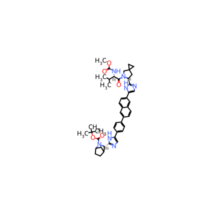 COC(=O)N[C@H](C(=O)N1CC2(CC2)C[C@H]1c1ncc(-c2ccc3cc(-c4ccc(-c5cnc([C@@H]6C7CCC(C7)N6C(=O)OC(C)(C)C)[nH]5)cc4)ccc3c2)[nH]1)C(C)C